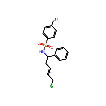 Cc1ccc(S(=O)(=O)NC(C/C=C/CBr)c2ccccc2)cc1